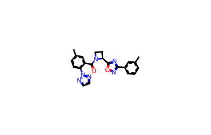 Cc1cccc(-c2noc(C3CCN3C(=O)c3cc(C)ccc3-n3nccn3)n2)c1